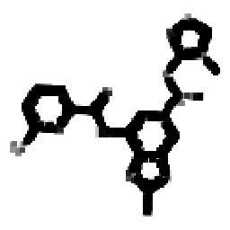 Cc1nc2cc([C@@H](C)Sc3nncn3C)cc(NC(=O)c3cccc(C(F)(F)F)n3)c2o1